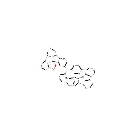 C=C/C=C1\C(=C/C)c2ccccc2C12c1ccccc1-c1ccc(N(c3ccc4c(c3)C35c6c-4cccc6-c4cccc(c43)C3C=CC=CC35)c3cccc4ccccc34)cc12